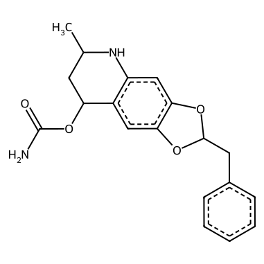 CC1CC(OC(N)=O)c2cc3c(cc2N1)OC(Cc1ccccc1)O3